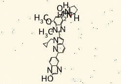 COc1cc(C(=O)N2C[C@H]3CC[C@@H]2[C@@H]3N)cc2nc(-c3cc4ccc(-c5ccc6nc(O)cnc6c5)nc4n3CC3CC3)n(C)c12